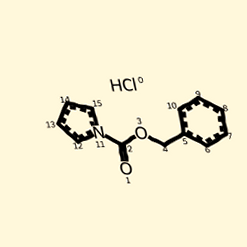 Cl.O=C(OCc1ccccc1)n1cccc1